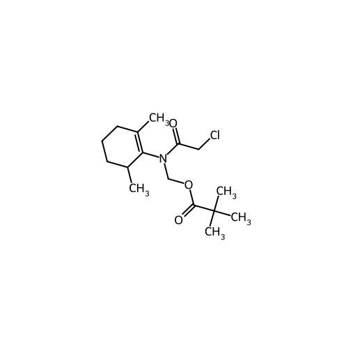 CC1=C(N(COC(=O)C(C)(C)C)C(=O)CCl)C(C)CCC1